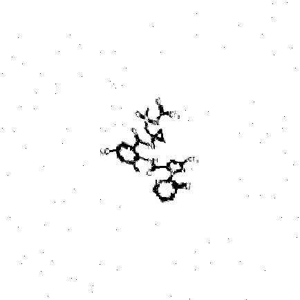 Cc1cc(C#N)cc(C(=O)NC2(CS(C)(=O)=NC(=O)C(F)(F)F)CC2)c1NC(=O)c1cc(C(F)(F)F)nn1-c1ncccc1Cl